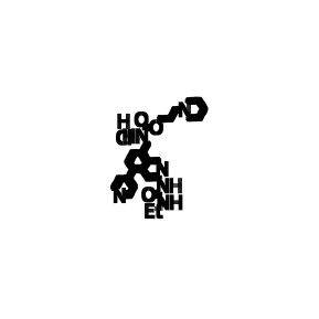 CCNC(=O)Nc1cc2c(-c3ccncc3)ccc(CNC(=O)OCCCN3CCCCC3)c2cn1.Cl